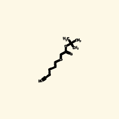 C#CCCCCOCC(=O)OC(C)(C)C